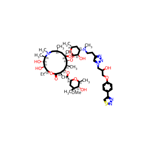 CC[C@H]1OC(=O)[C@H](C)[C@@H](OC[C@H]2C[C@@](C)(OC)[C@@H](O)[C@H](C)O2)[C@H](C)[C@@H](O[C@@H]2O[C@H](C)C[C@H](N(C)CCc3cn(CC(O)COc4ccc(-c5csnn5)cc4)nn3)[C@H]2O)[C@](C)(O)C[C@@H](C)CN(C)[C@H](C)[C@@H](O)[C@@H]1O